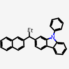 CCC(c1ccc2ccccc2c1)c1ccc2c3ccccc3n(-c3ccccc3)c2c1